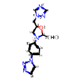 O=CC1OC(Cn2cncn2)CN1c1ccc(-n2ccnn2)cc1